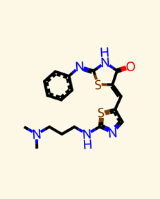 CN(C)CCCNc1ncc(C=C2SC(=Nc3ccccc3)NC2=O)s1